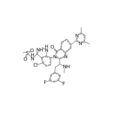 CNc1c(-n2c(C(Cc3cc(F)cc(F)c3)NC)nc3cc(-c4nc(C)cc(C)n4)ccc3c2=O)ccc(Cl)c1C(=N)NS(C)(=O)=O